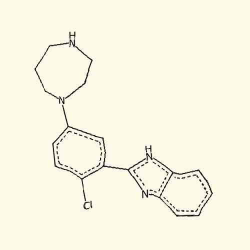 Clc1ccc(N2CCCNCC2)cc1-c1nc2ccccc2[nH]1